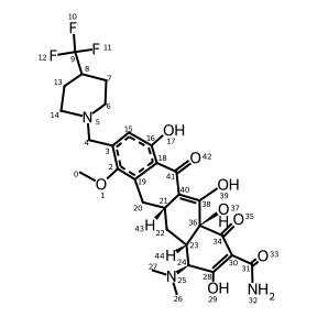 COc1c(CN2CCC(C(F)(F)F)CC2)cc(O)c2c1C[C@H]1C[C@H]3[C@H](N(C)C)C(O)=C(C(N)=O)C(=O)[C@@]3(O)C(O)=C1C2=O